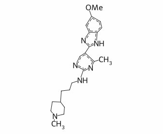 COc1ccc2[nH]c(-c3cnc(NCCCC4CCN(C)CC4)nc3C)nc2c1